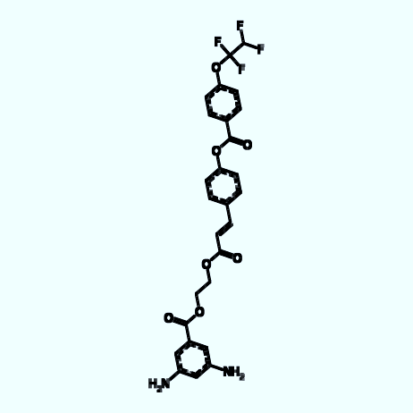 Nc1cc(N)cc(C(=O)OCCOC(=O)C=Cc2ccc(OC(=O)c3ccc(OC(F)(F)C(F)F)cc3)cc2)c1